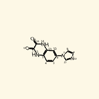 O=c1[nH]c2ccc(-n3ccnc3)cc2[nH]c1=O